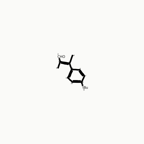 CC(C=O)=C(C)c1ccc(C(C)(C)C)cc1